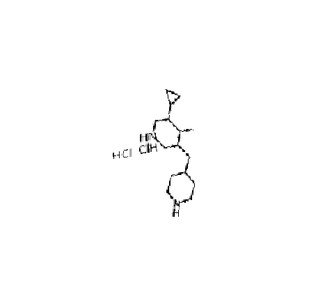 CC1C(CC2CCNCC2)CNCC1C1CC1.Cl.Cl